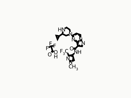 Cn1cc(NC(=O)c2cnn3ccc(N4CCNC(C5CC5)C4)nc23)c(C(F)(F)F)n1.O=C(O)C(F)(F)F